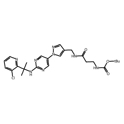 CC(C)(C)OC(=O)NCCC(=O)NCc1cnn(-c2cnc(NC(C)(C)c3ncccc3Cl)nc2)c1